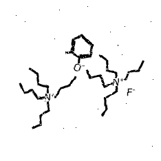 CCCC[N+](CCCC)(CCCC)CCCC.CCCC[N+](CCCC)(CCCC)CCCC.Cc1ccccc1[O-].[F-]